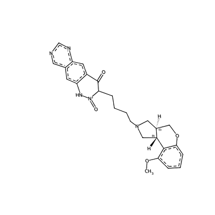 COc1cccc2c1[C@@H]1CN(CCCCC3C(=O)c4cc5ncncc5cc4N[N+]3=O)C[C@H]1CO2